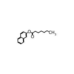 CCCCCCC(=O)Oc1ccc2ccccc2c1